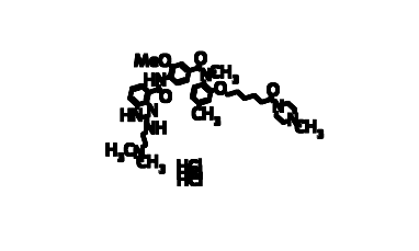 COc1cc(C(=O)N(C)c2ccc(C)cc2OCCCCCC(=O)N2CCN(C)CC2)ccc1NC(=O)c1cccc2[nH]c(NCCN(C)C)nc12.Cl.Cl.Cl